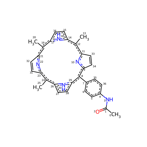 CC(=O)Nc1ccc(-c2c3nc(c(C)c4ccc([nH]4)c(C)c4nc(c(C)c5ccc2[nH]5)C=C4)C=C3)cc1